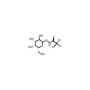 O=C(NO[C@H]1O[C@H](CO)[C@H](O)[C@H](O)[C@H]1O)C(Cl)(Cl)Cl